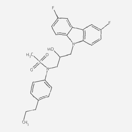 CCCc1ccc(N(CC(O)Cn2c3ccc(F)cc3c3cc(F)ccc32)S(C)(=O)=O)cc1